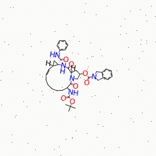 CC(C)(C)OC(=O)N[C@H]1CCCCC/C=C\[C@@H]2C[C@@]2(C(=O)Nc2ccccc2)NC(=O)[C@@H]2C[C@@H](OC(=O)N3Cc4ccccc4C3)CN2C1=O